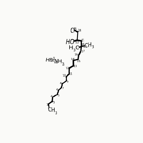 Br.CCCCCCCCCCCCCCCCCC(C)(C)CC(O)CCl.N